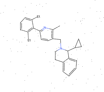 CCc1cccc(CC)c1-c1ccc(CN2CCc3ccccc3C2C2CC2)c(C)n1